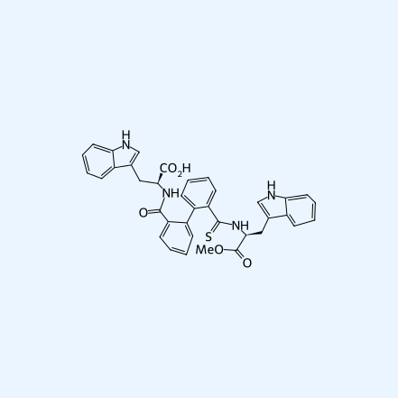 COC(=O)[C@H](Cc1c[nH]c2ccccc12)NC(=S)c1ccccc1-c1ccccc1C(=O)N[C@@H](Cc1c[nH]c2ccccc12)C(=O)O